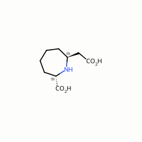 O=C(O)C[C@@H]1CCCC[C@@H](C(=O)O)N1